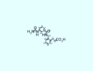 NC(=O)Nc1cccc(C(=O)NCc2ccccc2CCC(=O)O)c1